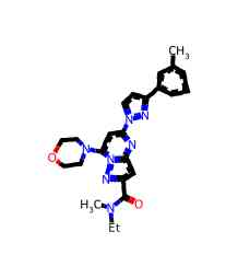 CCN(C)C(=O)c1cc2nc(-n3ccc(-c4cccc(C)c4)n3)cc(N3CCOCC3)n2n1